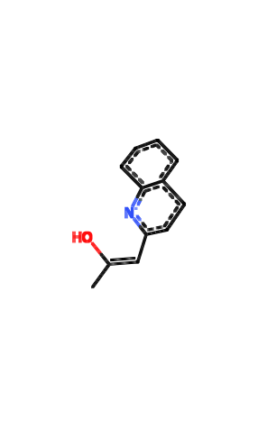 CC(O)=Cc1ccc2ccccc2n1